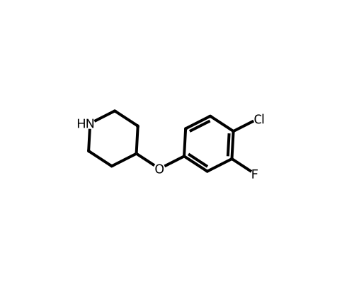 Fc1cc(OC2CCNCC2)ccc1Cl